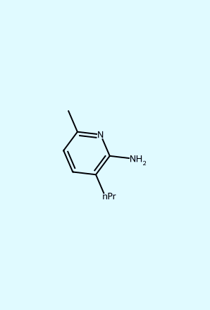 CCCc1ccc(C)nc1N